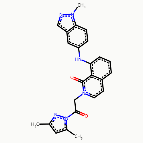 Cc1cc(C)n(C(=O)Cn2ccc3cccc(Nc4ccc5c(cnn5C)c4)c3c2=O)n1